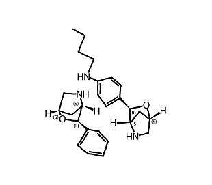 CCCCNc1ccc([C@H]2O[C@@H]3CN[C@H]2C3)cc1.c1ccc([C@H]2O[C@@H]3CN[C@H]2C3)cc1